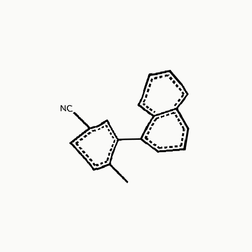 Cc1ccc(C#N)cc1-c1cccc2ccccc12